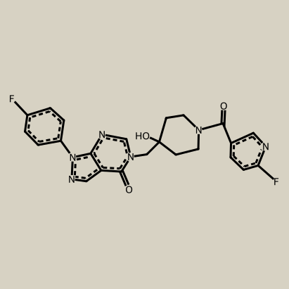 O=C(c1ccc(F)nc1)N1CCC(O)(Cn2cnc3c(cnn3-c3ccc(F)cc3)c2=O)CC1